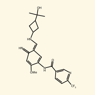 COC1=CC(=N)/C(=C\NC2CC(C(C)(C)O)C2)C=C1NC(=O)c1ccc(C(F)(F)F)nc1